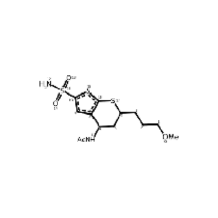 COCCCC1CC(NC(C)=O)c2cc(S(N)(=O)=O)sc2S1